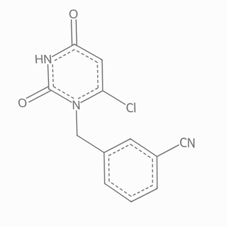 N#Cc1cccc(Cn2c(Cl)cc(=O)[nH]c2=O)c1